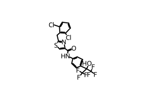 O=C(Nc1ccc(C(O)(C(F)(F)F)C(F)(F)F)cc1)c1csc(Cc2c(Cl)cccc2Cl)n1